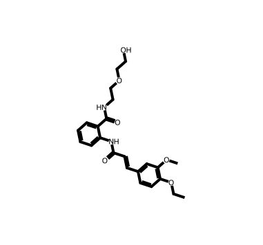 CCOc1ccc(C=CC(=O)Nc2ccccc2C(=O)NCCOCCO)cc1OC